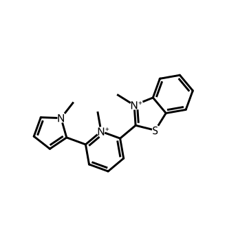 Cn1cccc1-c1cccc(-c2sc3ccccc3[n+]2C)[n+]1C